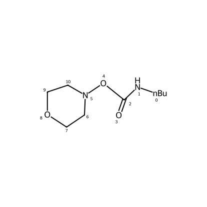 CCCCNC(=O)ON1CCOCC1